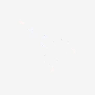 COc1ccc(-c2cnc(CNCC=O)nc2-c2ccc(OC)cc2)cc1